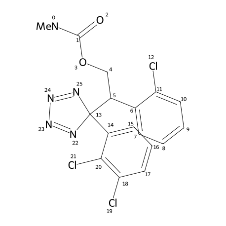 CNC(=O)OCC(c1ccccc1Cl)C1(c2cccc(Cl)c2Cl)N=NN=N1